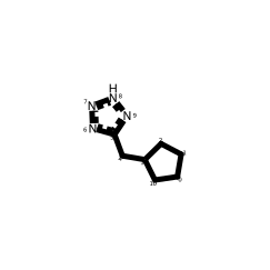 C1CCC(Cc2nn[nH]n2)C1